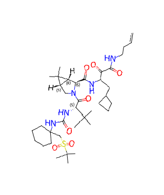 C=CCCNC(=O)C(=O)C(CC1CCC1)NC(=O)[C@@H]1[C@@H]2[C@H](CN1C(=O)[C@@H](NC(=O)NC1(CS(=O)(=O)C(C)(C)C)CCCCC1)C(C)(C)C)C2(C)C